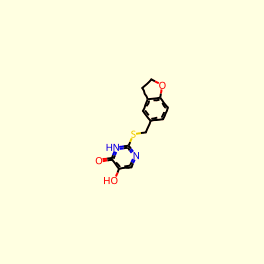 O=c1[nH]c(SCc2ccc3c(c2)CCO3)ncc1O